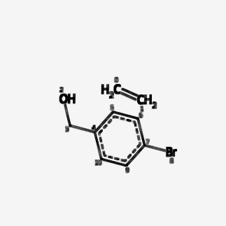 C=C.OCc1ccc(Br)cc1